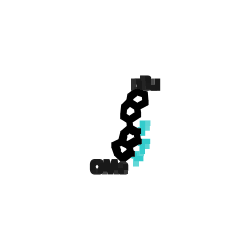 CCCCC1CCC2CC(c3cc4ccc(OC)c(F)c4c(F)c3F)CCC2C1